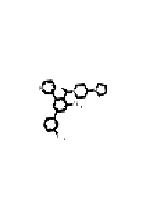 Cc1cc(-c2cccc(C(F)(F)F)c2)cc(-c2cccnc2)c1C(=O)N1CCC(N2CCCC2)CC1